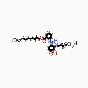 CCCCCCCCCCCCCCCCCCOC(=O)c1ccccc1/N=N/c1ccc(O)cc1NCCCS(=O)(=O)O